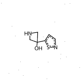 OC1(c2ccns2)CNC1